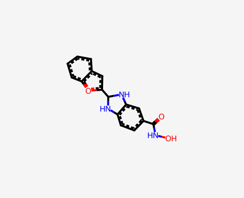 O=C(NO)c1ccc2c(c1)NC(c1cc3ccccc3o1)N2